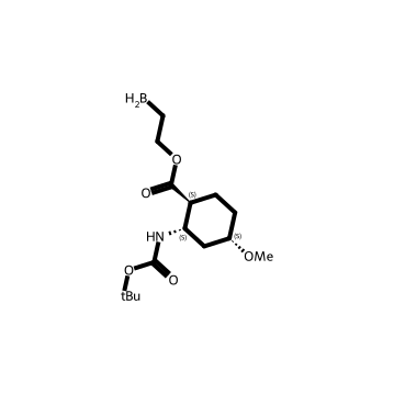 BCCOC(=O)[C@H]1CC[C@H](OC)C[C@@H]1NC(=O)OC(C)(C)C